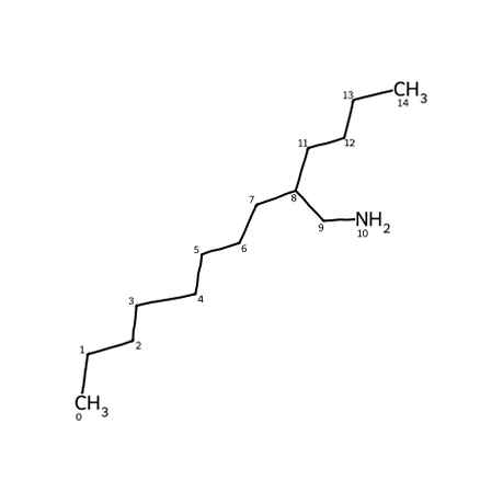 CCCCCCCCC(CN)CCCC